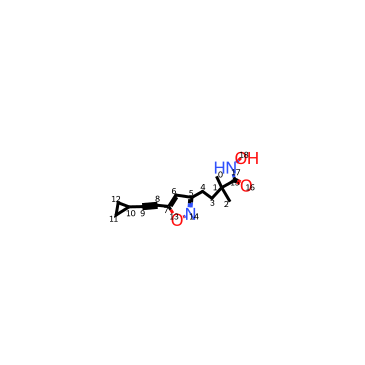 CC(C)(CCc1cc(C#CC2CC2)on1)C(=O)NO